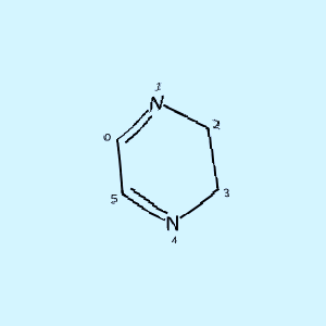 C1=NCCN=C1